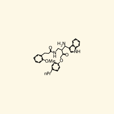 CCCc1ccc(OCC(=O)C(CNC(=O)CCc2ccccc2OC)C(N)c2c[nH]c3ccccc23)cc1